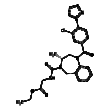 CCOC(=O)CNC(=O)N1Cc2ccccc2N(C(=O)c2ccc(-n3cccn3)c(Cl)c2)C[C@H]1C